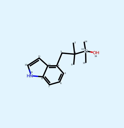 CC(C)(Cc1cccc2[nH]ccc12)[Si](C)(C)O